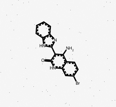 Nc1c(-c2nc3ccccc3[nH]2)c(=O)[nH]c2cc(Br)ccc12